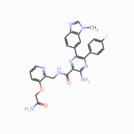 Cn1cnc2ccc(-c3nc(C(=O)NCc4ncccc4OCC(N)=O)c(N)nc3-c3ccc(F)cc3)cc21